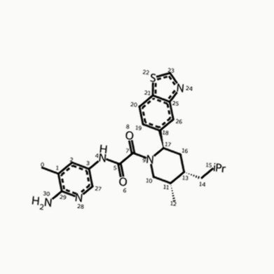 Cc1cc(NC(=O)C(=O)N2C[C@@H](C)[C@@H](CC(C)C)C[C@@H]2c2ccc3scnc3c2)cnc1N